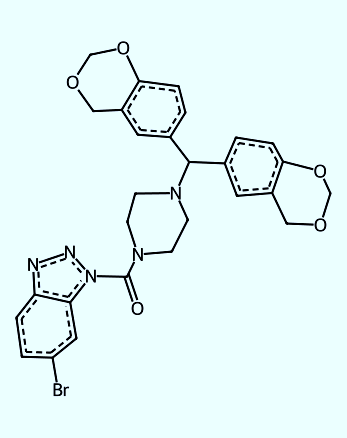 O=C(N1CCN(C(c2ccc3c(c2)COCO3)c2ccc3c(c2)COCO3)CC1)n1nnc2ccc(Br)cc21